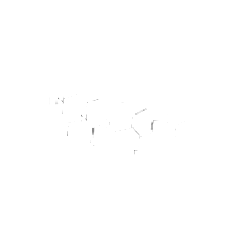 CC(C)Oc1cc(F)c(COC(=O)N2[C@H](C)CNC[C@@H]2C)c(F)c1